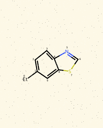 C[CH]c1ccc2ncsc2c1